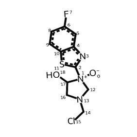 [O-][N+]1(c2nc3cc(F)ccc3s2)CN(CCl)CC1O